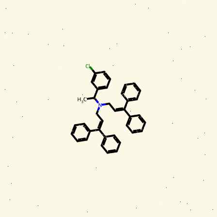 CC(c1cccc(Cl)c1)N(CC=C(c1ccccc1)c1ccccc1)CC=C(c1ccccc1)c1ccccc1